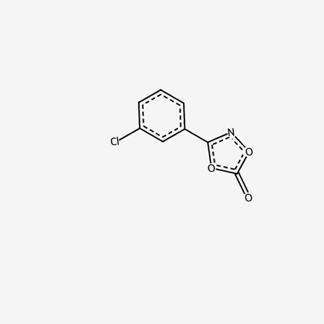 O=c1onc(-c2cccc(Cl)c2)o1